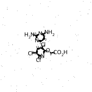 Nc1ccnc(N)n1.O=C(O)COc1nc(Cl)c(Cl)cc1Cl